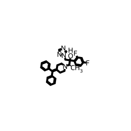 C[C@@H](N1CCC(=C(c2ccccc2)c2ccccc2)CC1)C(O)(Cn1cncn1)c1ccc(F)cc1F